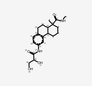 CNC(=O)C1(C)CCCC2c3cc(NC(=O)C(O)CO)ccc3CCC21